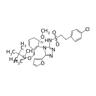 CO[C@H]1CC=CC(CO[Si](C)(C)C(C)(C)C)=C1n1c(NS(=O)(=O)CCc2ccc(Cl)cc2)nnc1-c1ccco1